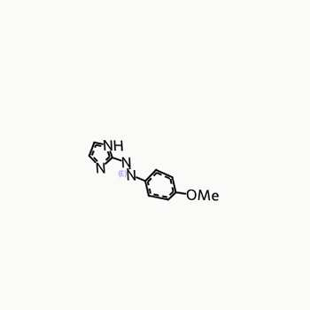 COc1ccc(/N=N/c2ncc[nH]2)cc1